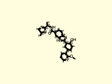 COc1ncccc1-c1ccc(O)c(-c2nc3ccc(C(=O)NC(C)c4nc(C)cs4)cc3[nH]2)c1